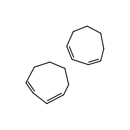 C1=CCCCCC=C1.C1=CCCCCC=C1